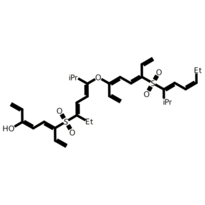 C=C/C(O)=C\C=C(/C=C)S(=O)(=O)/C(=C/C=C(/O/C(C=C)=C/C=C(\C=C)S(=O)(=O)/C(=C/C=C\CC)C(C)C)C(C)C)CC